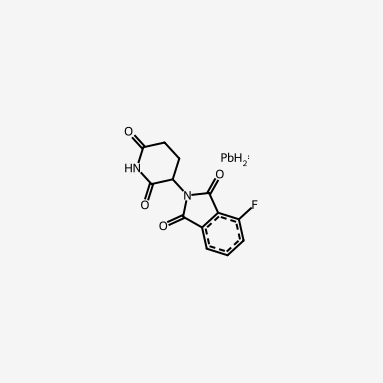 O=C1CCC(N2C(=O)c3cccc(F)c3C2=O)C(=O)N1.[PbH2]